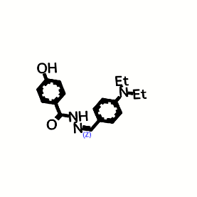 CCN(CC)c1ccc(/C=N\NC(=O)c2ccc(O)cc2)cc1